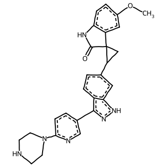 COc1ccc2c(c1)C1(CC1c1ccc3c(-c4ccc(N5CCNCC5)nc4)n[nH]c3c1)C(=O)N2